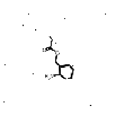 CCC(=O)OCC1=CCCCC1N